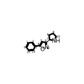 c1ccc(-c2cc([C@H]3CCCN3)no2)cc1